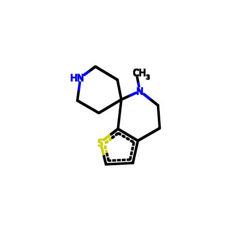 CN1CCc2ccsc2C12CCNCC2